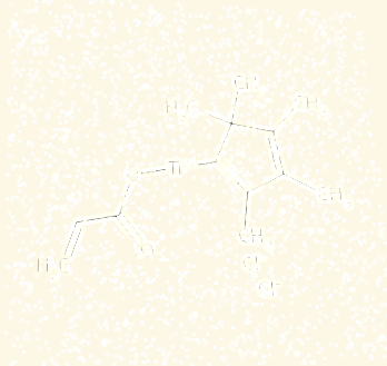 C=CC(=O)[O][Ti+2][C]1=C(C)C(C)=C(C)C1(C)C.[Cl-].[Cl-]